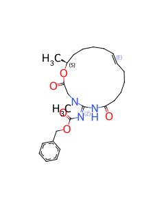 C[C@H]1CCCC/C=C/CCCCC(=O)N/C(=N/C(=O)OCc2ccccc2)N(C)CC(=O)O1